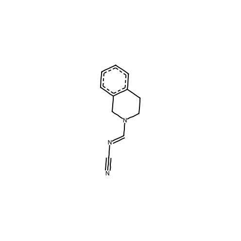 N#CN=CN1CCc2ccccc2C1